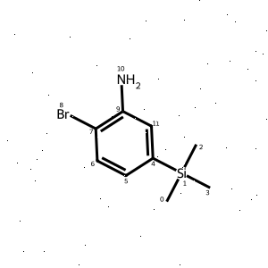 C[Si](C)(C)c1ccc(Br)c(N)c1